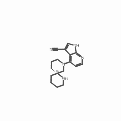 N#Cc1c[nH]c2nccc(N3CCC[C@]4(CCCCN4)C3)c12